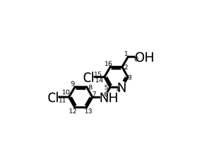 OCc1cnc(Nc2ccc(Cl)cc2)c(Cl)c1